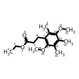 CCOC(=O)CCc1c(C)c(OC)c(C)c(C)c1OC